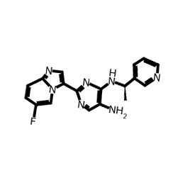 C[C@@H](Nc1nc(-c2cnc3ccc(F)cn23)ncc1N)c1cccnc1